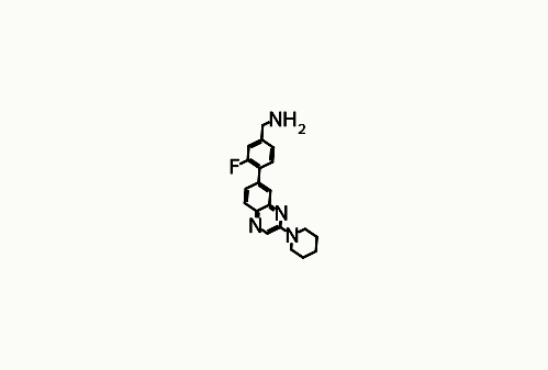 NCc1ccc(-c2ccc3ncc(N4CCCCC4)nc3c2)c(F)c1